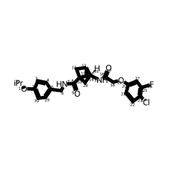 CC(C)Oc1ccc(CNC(=O)C23CC(C2)[C@@H](NC(=O)COc2ccc(Cl)c(F)c2)C3)cc1